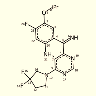 CC(C)Oc1cc(C(=N)c2cc(N3CCC(F)(F)C3)ncn2)c(N)cc1F